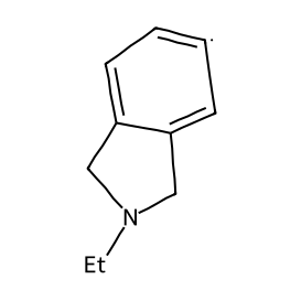 CCN1Cc2c[c]ccc2C1